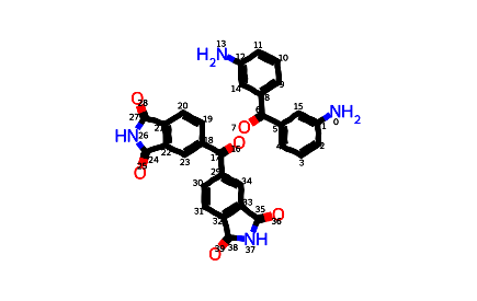 Nc1cccc(C(=O)c2cccc(N)c2)c1.O=C(c1ccc2c(c1)C(=O)NC2=O)c1ccc2c(c1)C(=O)NC2=O